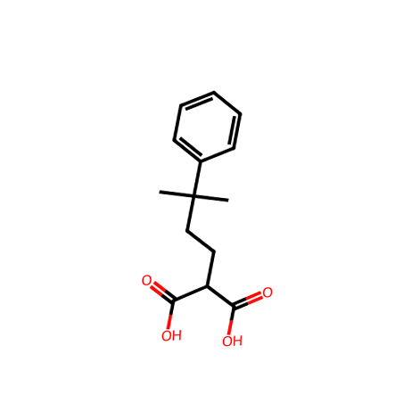 CC(C)(CCC(C(=O)O)C(=O)O)c1ccccc1